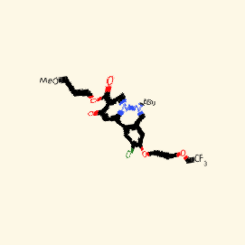 COCCCOC(=O)c1cn2c(cc1=O)-c1cc(Cl)c(OCCOCC(F)(F)F)cc1CN2C(C)(C)C